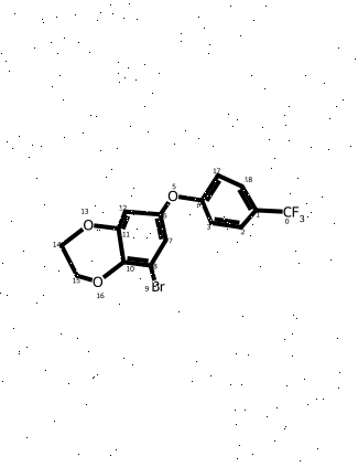 FC(F)(F)c1ccc(Oc2cc(Br)c3c(c2)OCCO3)cc1